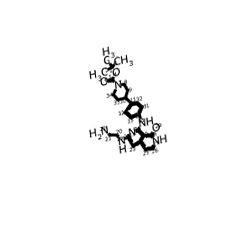 CC(C)(C)OC(=O)N1CCC(c2ccc(Nc3nc(NCCN)cc4cc[nH]c(=O)c34)cc2)CC1